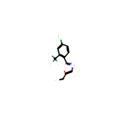 CC(=O)c1cnc(-c2ccc(Br)cc2C(F)(F)F)o1